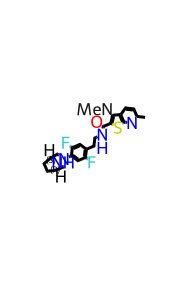 CNc1c(C(=O)NCCc2cc(F)c(N3C[C@H]4CC[C@@H](C3)N4)cc2F)sc2nc(C)ccc12